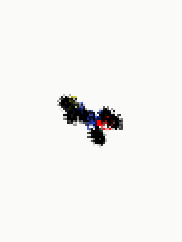 c1ccc2cc(-c3cc(-c4cccc5c4oc4ccccc45)nc(-c4ccc(-c5nc6sc7ccccc7c6c6ccccc56)cc4)n3)ccc2c1